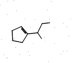 CCC(CO)C1=CCCC1